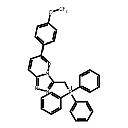 FC(F)(F)Oc1ccc(-c2ccc3nnc(C[PH](c4ccccc4)(c4ccccc4)c4ccccc4)n3n2)cc1